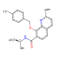 COc1ccc2ccc(C(=O)N[C@H](C(=O)O)C(C)(C)C)c(OCc3ccc(C(F)(F)F)cc3)c2n1